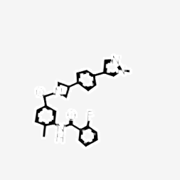 Cc1ccc(C(=O)N2CC(c3ccc(-c4cnn(C)c4)cc3)C2)cc1NC(=O)c1ccccc1F